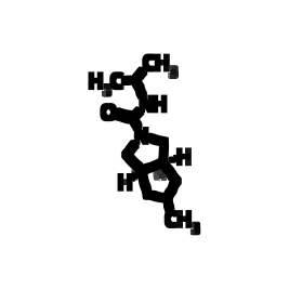 CC1C[C@@H]2CN(C(=O)NC(C)C)C[C@@H]2C1